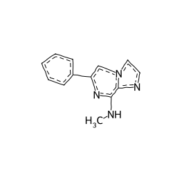 CNc1nc(-c2ccccc2)cn2ccnc12